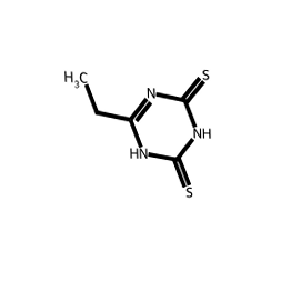 CCc1nc(=S)[nH]c(=S)[nH]1